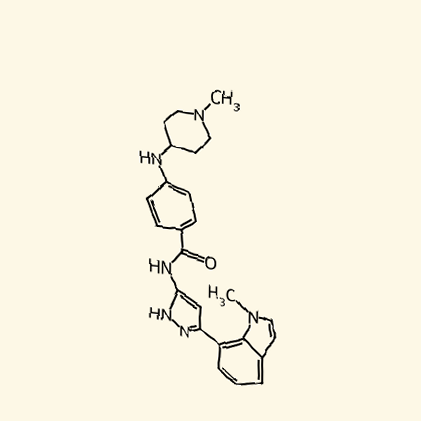 CN1CCC(Nc2ccc(C(=O)Nc3cc(-c4cccc5ccn(C)c45)n[nH]3)cc2)CC1